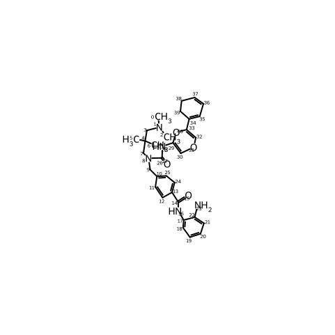 CN(C)CC(C)(C)CN(Cc1ccc(C(=O)Nc2ccccc2N)cc1)C(=O)NC1=COC=C(C2=CC=CCC2)O1